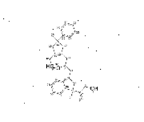 C=C(CO)C(C)(CCCC(O)CCCC(C)(CCCO)c1ccccc1)c1ccccc1